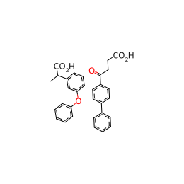 CC(C(=O)O)c1cccc(Oc2ccccc2)c1.O=C(O)CCC(=O)c1ccc(-c2ccccc2)cc1